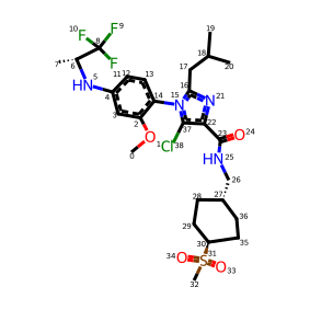 COc1cc(N[C@H](C)C(F)(F)F)ccc1-n1c(CC(C)C)nc(C(=O)NC[C@H]2CC[C@H](S(C)(=O)=O)CC2)c1Cl